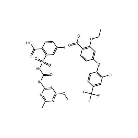 CCOc1cc(Oc2ccc(C(F)(F)F)cc2Cl)ccc1[N+](=O)[O-].COc1nc(C)nc(NC(=O)NS(=O)(=O)c2cc(I)ccc2C(=O)O)n1